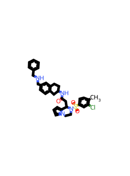 Cc1ccc(S(=O)(=O)N2CCn3cccc3C2CC(=O)NC2CCc3cc(CNCc4ccccc4)ccc3C2)cc1Cl